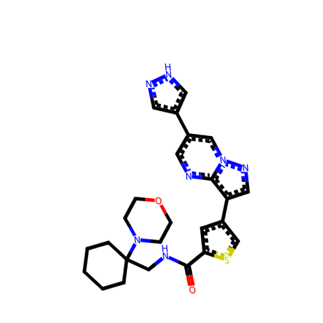 O=C(NCC1(N2CCOCC2)CCCCC1)c1cc(-c2cnn3cc(-c4cn[nH]c4)cnc23)cs1